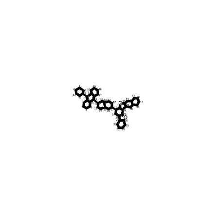 c1ccc(-c2c3ccccc3c(-c3ccc4cc(-c5cc6c7ccccc7oc6c6c5oc5cc7ccccc7cc56)ccc4c3)c3ccccc23)cc1